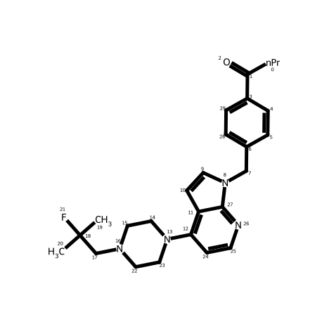 CCCC(=O)c1ccc(Cn2ccc3c(N4CCN(CC(C)(C)F)CC4)ccnc32)cc1